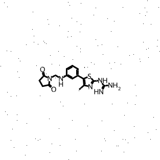 Cc1nc(NC(=N)N)sc1-c1cccc(NCN2C(=O)CCC2=O)c1